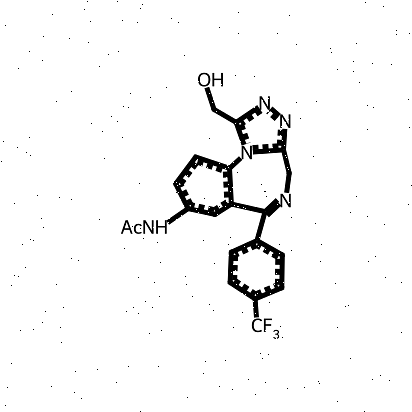 CC(=O)Nc1ccc2c(c1)C(c1ccc(C(F)(F)F)cc1)=NCc1nnc(CO)n1-2